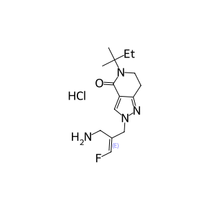 CCC(C)(C)N1CCc2nn(C/C(=C/F)CN)cc2C1=O.Cl